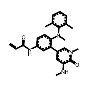 C=CC(=O)Nc1ccc(N(C)c2c(C)cccc2C)c(-c2cc(NC)c(=O)n(C)c2)c1